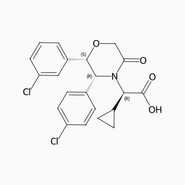 O=C(O)[C@@H](C1CC1)N1C(=O)CO[C@@H](c2cccc(Cl)c2)[C@H]1c1ccc(Cl)cc1